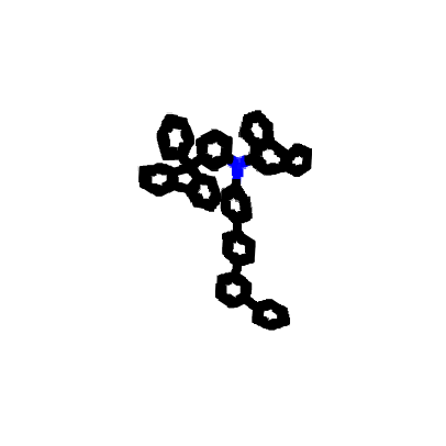 c1ccc(-c2cccc(-c3ccc(-c4ccc(N(c5cccc(C6(c7ccccc7)c7ccccc7-c7ccccc76)c5)c5cc6ccccc6c6ccccc56)cc4)cc3)c2)cc1